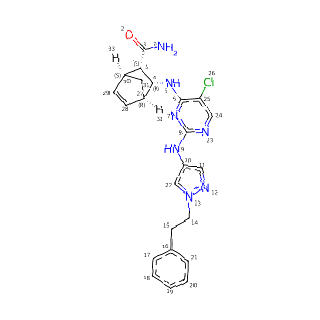 NC(=O)[C@@H]1[C@H](Nc2nc(Nc3cnn(CCc4ccccc4)c3)ncc2Cl)[C@H]2C=C[C@@H]1C2